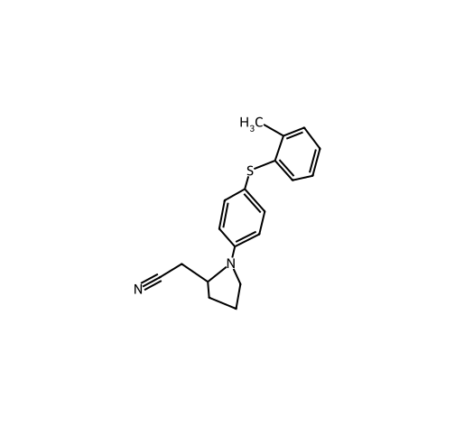 Cc1ccccc1Sc1ccc(N2CCCC2CC#N)cc1